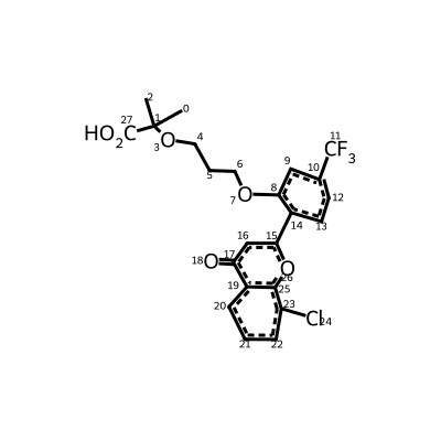 CC(C)(OCCCOc1cc(C(F)(F)F)ccc1-c1cc(=O)c2cccc(Cl)c2o1)C(=O)O